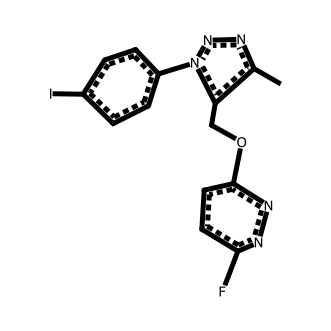 Cc1nnn(-c2ccc(I)cc2)c1COc1ccc(F)nn1